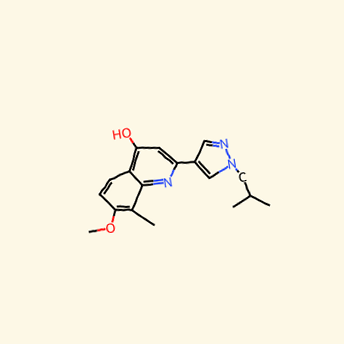 COc1ccc2c(O)cc(-c3cnn(CC(C)C)c3)nc2c1C